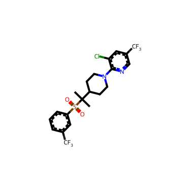 CC(C)(C1CCN(c2ncc(C(F)(F)F)cc2Cl)CC1)S(=O)(=O)c1cccc(C(F)(F)F)c1